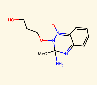 COC1(N)N=c2ccccc2=[N+]([O-])N1OCCCO